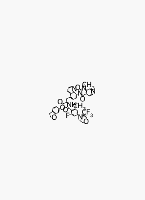 Cc1cc(N2CCOC[C@@H]2C(F)(F)F)cc(F)c1C(=O)NC(Cc1ccc(-n2c(=O)c3ccncc3n(C)c2=O)c2ncccc12)C(=O)Oc1ccc2c(c1)OCC2